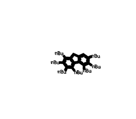 CCCCc1[c]c2c(c(CCCC)c1CCCC)-c1c(CCCC)c(CCCC)c(CCCC)c(CCCC)c1C2